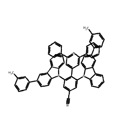 Cc1cccc(-c2ccc3c(c2)c2ccccc2n3-c2cc(C#N)cc(-n3c4ccccc4c4cc(-c5cccc(C)c5)ccc43)c2-c2cc(-c3ccccc3)nc(-c3ccccc3)c2)c1